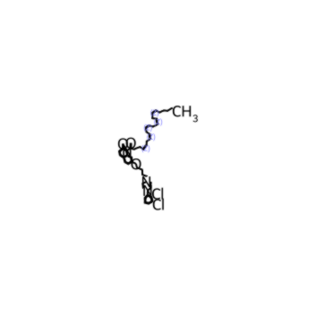 CCCCC/C=C\C/C=C\C/C=C\C/C=C\C/C=C\CCC(=O)n1c(=O)ccc2ccc(OCCCCN3CCN(c4cccc(Cl)c4Cl)CC3)cc21